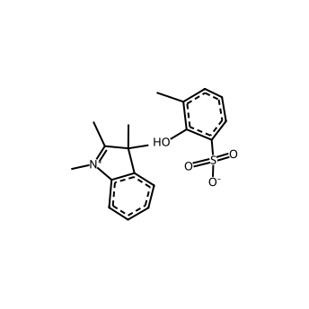 CC1=[N+](C)c2ccccc2C1(C)C.Cc1cccc(S(=O)(=O)[O-])c1O